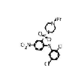 CC(C)N1CCN(S(=O)(=O)c2cc([N+](=O)[O-])ccc2Sc2cc(Cl)ccc2Cl)CC1